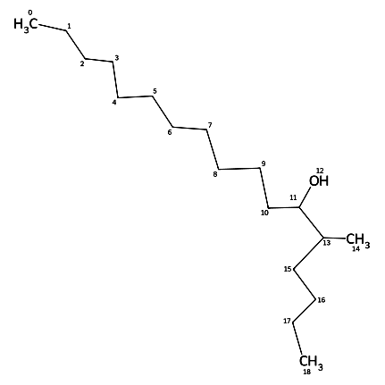 CCCCCCCCCCCC(O)C(C)CCCC